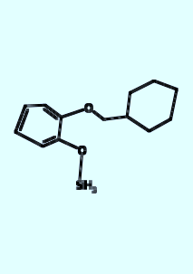 [SiH3]Oc1ccccc1OCC1CCCCC1